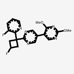 COc1ncc(-c2cnc(C3(c4ncccc4F)CC(F)C3)nc2)c(OC)n1